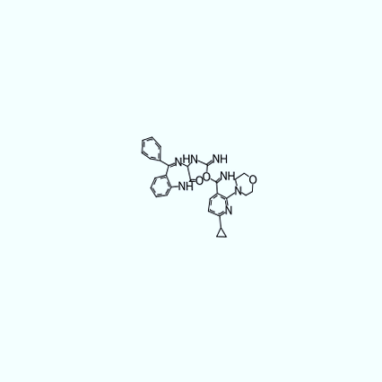 N=C(NC1N=C(c2ccccc2)c2ccccc2NC1=O)OC(=N)c1ccc(C2CC2)nc1N1CCOCC1